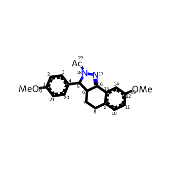 COc1ccc(C2C3CCc4ccc(OC)cc4C3=NN2C(C)=O)cc1